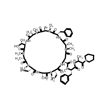 CC(C)C[C@H]1C(=O)N[C@H](C(=O)N(C)[C@@H](Cc2ccccc2)C(=O)N[C@@H](C)C(=O)N2CCCCC2)CC(=O)N(C)[C@@H](C)C(=O)N[C@@H](Cc2ccccc2)C(=O)N(C)[C@@H](C(C)C)C(=O)N(C)[C@@H](C)C(=O)N[C@@H]([C@@H](C)O)C(=O)N(C)[C@@H](C)C(=O)N(C)[C@@H](CC(C)C)C(=O)N[C@@H](C)C(=O)N1C